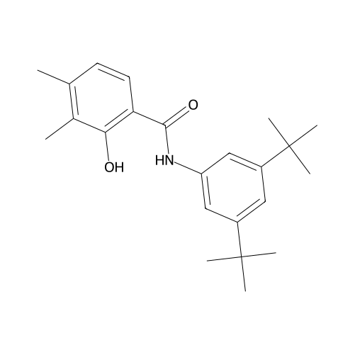 Cc1ccc(C(=O)Nc2cc(C(C)(C)C)cc(C(C)(C)C)c2)c(O)c1C